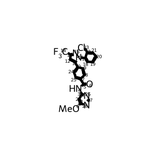 COc1cc(NC(=O)c2ccc(-c3cc(C(F)(F)F)nn3-c3ccccc3Cl)cc2)ncn1